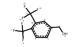 OCc1ccc(C(F)(F)F)c(C(F)(F)F)c1